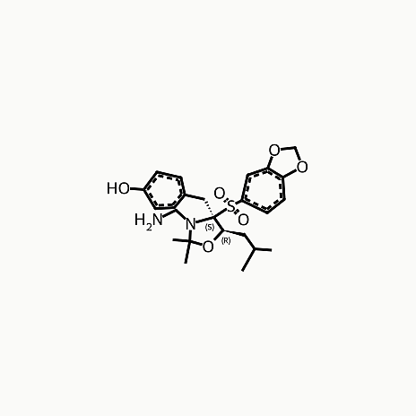 CC(C)C[C@H]1OC(C)(C)N(CN)[C@@]1(Cc1ccc(O)cc1)S(=O)(=O)c1ccc2c(c1)OCO2